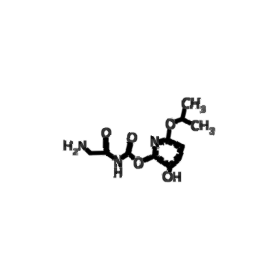 CC(C)Oc1ccc(O)c(OC(=O)NC(=O)CN)n1